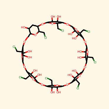 OC1CC2OC3OC(CCl)C(OC4OC(CCl)C(OC5OC(CCl)C(OC6OC(CCl)C(OC7OC(CCl)C(OC8OC(CCl)C(OC9OC(CCl)C(OC1OC2CCl)C(O)C9O)C(O)C8O)C(O)C7O)C(O)C6O)C(O)C5O)C(O)C4O)C(O)C3O